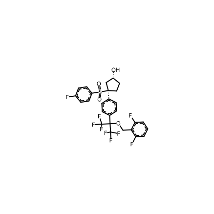 O=S(=O)(c1ccc(F)cc1)[C@]1(c2ccc(C(OCc3c(F)cccc3F)(C(F)(F)F)C(F)(F)F)cc2)CC[C@@H](O)C1